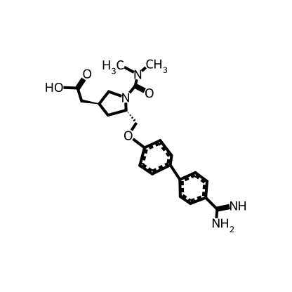 CN(C)C(=O)N1C[C@H](CC(=O)O)C[C@H]1COc1ccc(-c2ccc(C(=N)N)cc2)cc1